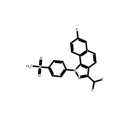 CS(=O)(=O)c1ccc(-n2nc(C(F)F)c3ccc4cc(F)ccc4c32)cc1